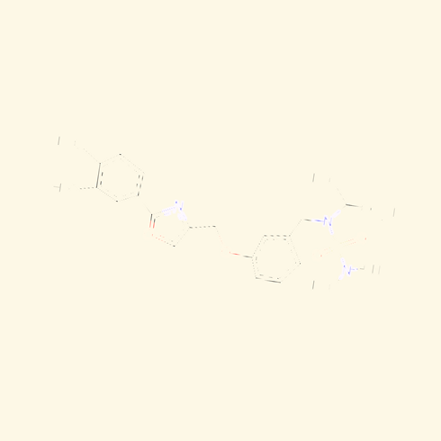 Cc1ccc(-c2nc(COc3cccc(CN(C(C)C(=O)O)S(=O)(=O)N(C)C)c3)co2)cc1C